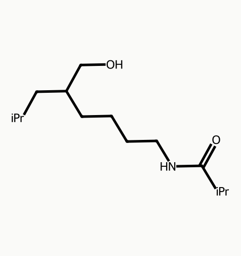 CC(C)CC(CO)CCCCNC(=O)C(C)C